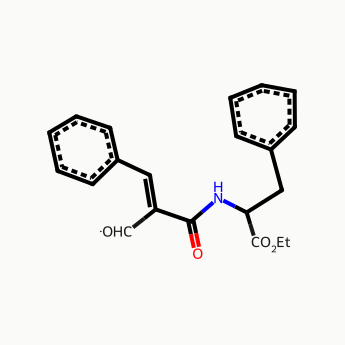 CCOC(=O)C(Cc1ccccc1)NC(=O)C([C]=O)=Cc1ccccc1